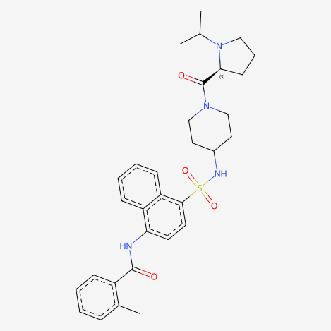 Cc1ccccc1C(=O)Nc1ccc(S(=O)(=O)NC2CCN(C(=O)[C@@H]3CCCN3C(C)C)CC2)c2ccccc12